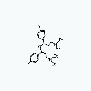 CCN(CC)CCC(OC(CCN(CC)CC)c1ccc(C)cc1)c1ccc(C)cc1